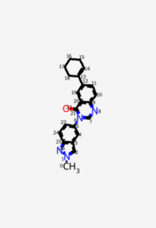 Cn1cc2cc(-n3cnc4ccc(C5=CCCCC5)cc4c3=O)ccc2n1